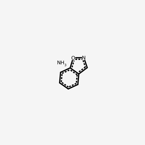 N.c1ccc2oncc2c1